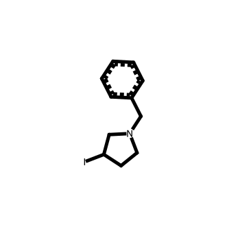 IC1CCN(Cc2ccccc2)C1